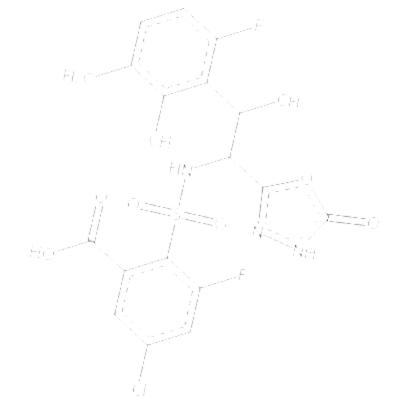 Cc1ccc(F)c(C(C)C(NS(=O)(=O)c2c(F)cc(Cl)cc2C(=O)O)c2n[nH]c(=O)o2)c1C